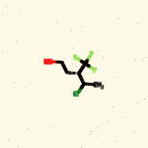 CC(Cl)[C@H](CCO)C(F)(F)F